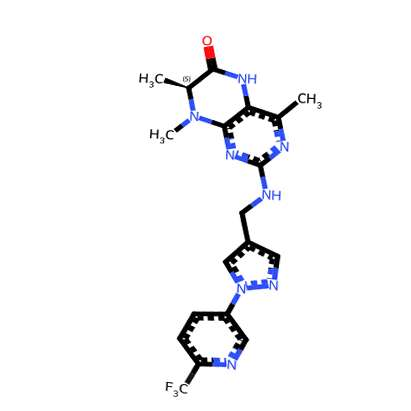 Cc1nc(NCc2cnn(-c3ccc(C(F)(F)F)nc3)c2)nc2c1NC(=O)[C@H](C)N2C